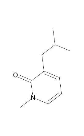 CC(C)Cc1cccn(C)c1=O